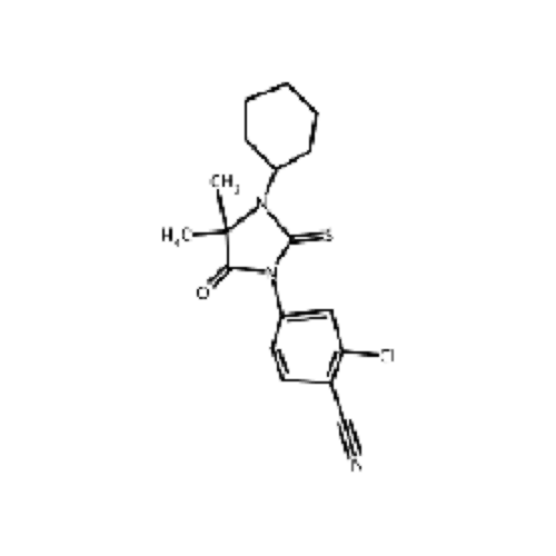 CC1(C)C(=O)N(c2ccc(C#N)c(Cl)c2)C(=S)N1C1CCCCC1